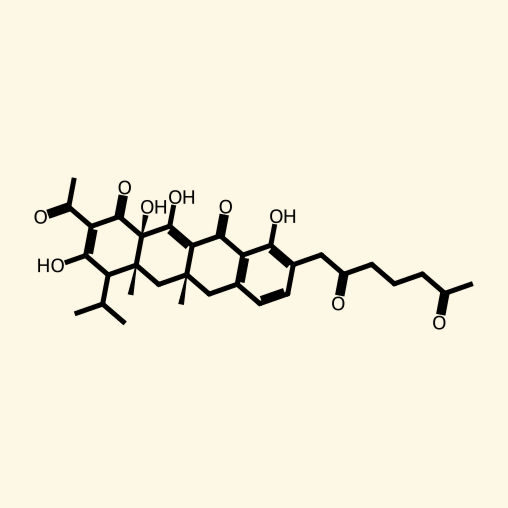 CC(=O)CCCC(=O)Cc1ccc2c(c1O)C(=O)C1=C(O)[C@@]3(O)C(=O)C(C(C)=O)=C(O)C(C(C)C)[C@@]3(C)C[C@@]1(C)C2